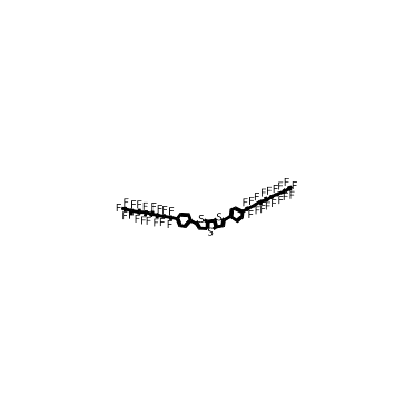 FC(F)(F)C(F)(F)C(F)(F)C(F)(F)C(F)(F)C(F)(F)C(F)(F)C(F)(F)c1ccc(-c2cc3sc4cc(-c5ccc(C(F)(F)C(F)(F)C(F)(F)C(F)(F)C(F)(F)C(F)(F)C(F)(F)C(F)(F)F)cc5)sc4c3s2)cc1